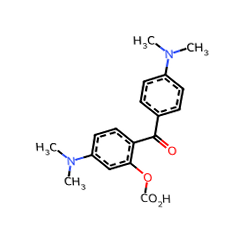 CN(C)c1ccc(C(=O)c2ccc(N(C)C)cc2OC(=O)O)cc1